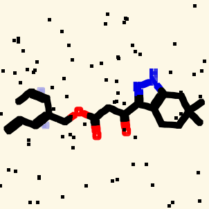 C=C/C=C(\C=C/C)COC(=O)CC(=O)c1n[nH]c2c1CCC(C)(C)C2